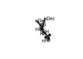 CCCCCCCCCCCCCCCCCC(=O)OCC(COP(=O)(O)OCCNC(=O)CNCCC/C(=C(\c1ccccc1)c1ccc(OCCC)cc1)c1ccccc1)OC(=O)CCCCCCCCCCCCCCCCC